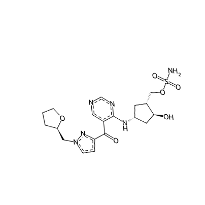 NS(=O)(=O)OC[C@H]1C[C@@H](Nc2ncncc2C(=O)c2ccn(C[C@H]3CCCO3)n2)C[C@@H]1O